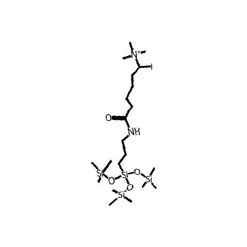 C[N+](C)(C)C(I)CCCCC(=O)NCCC[Si](O[Si](C)(C)C)(O[Si](C)(C)C)O[Si](C)(C)C